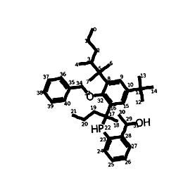 CCCC(C)C(C)(C)c1cc(C(C)(C)C)cc(C(C)(CCC)Pc2ccccc2C(C)O)c1OCc1ccccc1